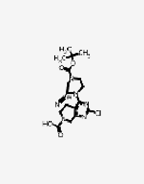 CC(C)(C)OC(=O)N1CCN(c2nc(Cl)nc3c2CCN(C(=O)O)C3)[C@@H](C#N)C1